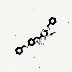 CC(C)C[C@H](NC(=O)[C@@H](N)Cc1ccc(OCc2ccccc2)cc1)C(=O)OCc1ccccc1.Cl